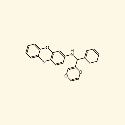 C1=CCCC(C(Nc2ccc3c(c2)Oc2ccccc2S3)C2=COC=CO2)=C1